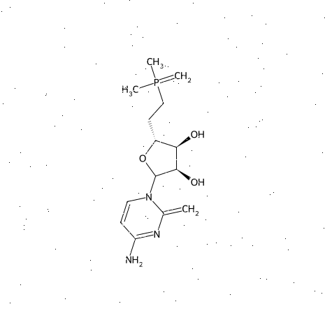 C=C1N=C(N)C=CN1C1O[C@H](CCP(=C)(C)C)[C@@H](O)[C@H]1O